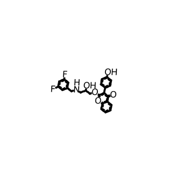 O=c1c(-c2ccc(O)cc2)c(OCC(O)CNCc2cc(F)cc(F)c2)oc2ccccc12